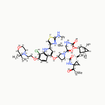 C=C[C@@H]1CC1(NC(=O)[C@@H]1C[C@@H](OC2=CC(c3csc(NC(C)C)n3)Nc3c2ccc(OCCN2CCOCC2(C)C)c3Cl)CN1C(=O)[C@@H](NC(=O)O[C@@H]1C[C@@H]2C[C@@H]2C1)C(C)(C)C)C(=O)OC